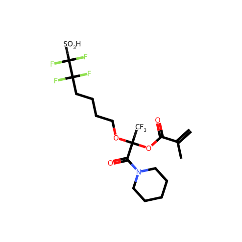 C=C(C)C(=O)OC(OCCCCC(F)(F)C(F)(F)S(=O)(=O)O)(C(=O)N1CCCCC1)C(F)(F)F